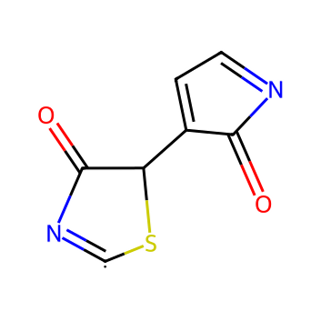 O=C1N=CC=C1C1S[C]=NC1=O